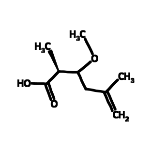 C=C(C)CC(OC)[C@H](C)C(=O)O